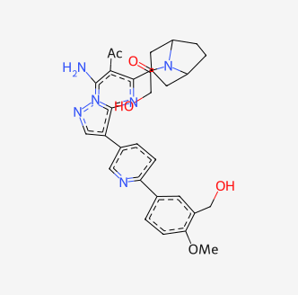 COc1ccc(-c2ccc(-c3cnn4c(N)c(C(C)=O)c(C5CC6CCC(C5)N6C(=O)CO)nc34)cn2)cc1CO